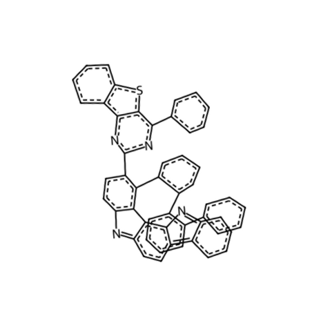 c1ccc(-c2ccccc2-c2ccccc2-c2c(-c3nc(-c4ccccc4)c4sc5ccccc5c4n3)ccc3c2-c2c4c(ccc2=N3)=c2ccccc2=N4)cc1